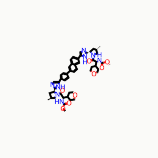 COC(=O)N[C@H](C(=O)N1C[C@@H](C)C[C@H]1c1ncc(-c2ccc(-c3ccc4cc(-c5cnc([C@@H]6C[C@H](C)CN6C(=O)[C@@H](NC(=O)OC)C6CCOCC6)[nH]5)ccc4c3)cc2)[nH]1)C1CCOCC1